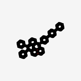 c1ccc(-c2ccc(-c3ccc(N(c4ccccc4)c4cccc5c(-c6ccccc6)c(-c6ccccc6)c6ccccc6c45)cc3)cc2)cc1